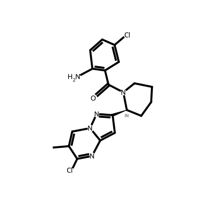 Cc1cn2nc([C@@H]3CCCCN3C(=O)c3cc(Cl)ccc3N)cc2nc1Cl